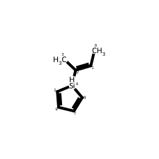 C/C=C(\C)[SiH]1C=CC=C1